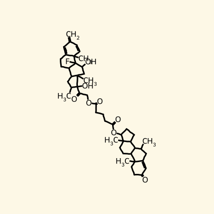 C=C1C=CC2(C)C(=C1)CCC1C3CC(C)C(O)(C(=O)COC(=O)CCCC(=O)OC4CCC5C6C(C)CC7=CC(=O)CCC7(C)C6CCC45C)C3(C)CC(O)C12F